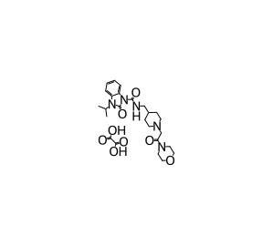 CC(C)n1c(=O)n(C(=O)NCC2CCN(CC(=O)N3CCOCC3)CC2)c2ccccc21.O=C(O)C(=O)O